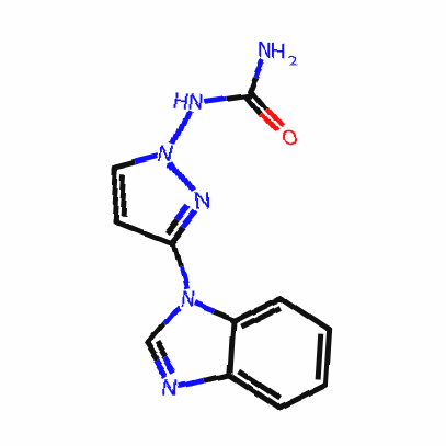 NC(=O)Nn1ccc(-n2cnc3ccccc32)n1